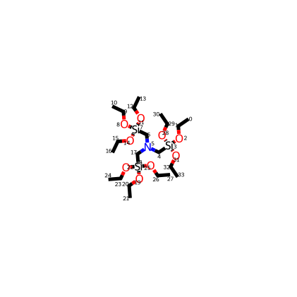 CCO[Si](CN(C[Si](OCC)(OCC)OCC)C[Si](OCC)(OCC)OCC)(OCC)OCC